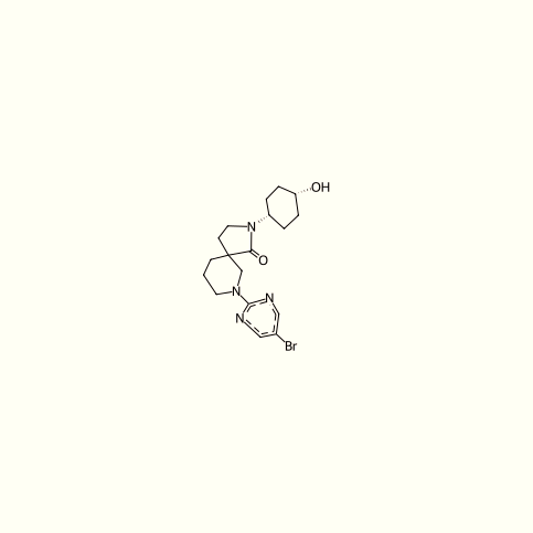 O=C1N([C@H]2CC[C@@H](O)CC2)CCC12CCCN(c1ncc(Br)cn1)C2